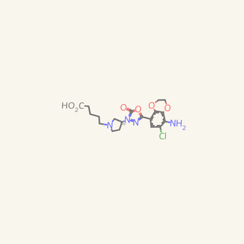 Nc1c(Cl)cc(-c2nn([C@H]3CCN(CCCCC(=O)O)C3)c(=O)o2)c2c1OCCO2